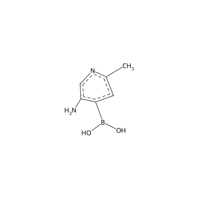 Cc1cc(B(O)O)c(N)cn1